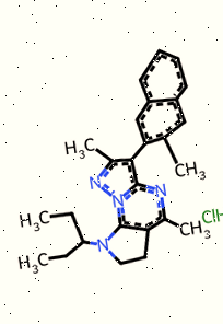 CCC(CC)N1CCc2c(C)nc3c(-c4cc5ccccc5cc4C)c(C)nn3c21.Cl